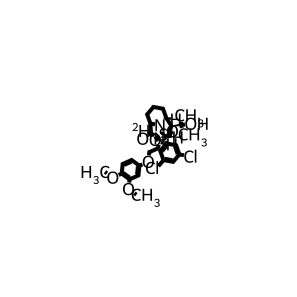 [2H]C1([2H])[C@H](C(C)(C)O)[C@H]2CCC[C@@]([2H])(C(=O)N1CCOc1ccc(OC)c(OC)c1)N2S(=O)(=O)c1cc(Cl)cc(Cl)c1